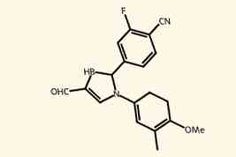 COC1=C(C)C=C(N2C=C(C=O)BC2c2ccc(C#N)c(F)c2)CC1